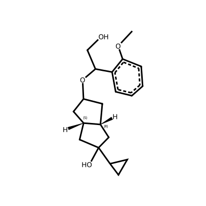 COc1ccccc1C(CO)OC1C[C@@H]2CC(O)(C3CC3)C[C@@H]2C1